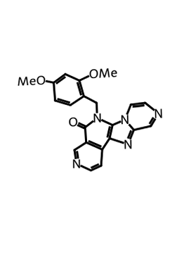 COc1ccc(Cn2c(=O)c3cnccc3c3nc4cnccn4c32)c(OC)c1